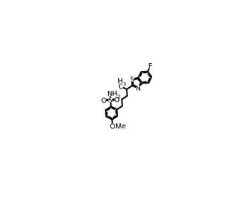 COc1ccc(S(N)(=O)=O)c(CCCC(C)c2nc3ccc(F)cc3s2)c1